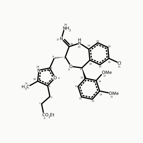 CCOC(=O)CCc1oc(C[C@H]2O[C@H](c3cccc(OC)c3OC)c3cc(Cl)ccc3NC2=NN)nc1C